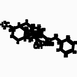 COC1CC23CCN(C)C(Cc4ccc(OCc5ccccc5)c(O)c42)C3C[C@@H]1C(C)=O